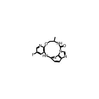 CC1COc2ncc(F)cc2Nc2ccc3ncn(c3n2)C(=O)N1